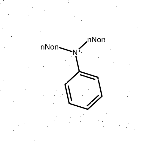 CCCCCCCCC[N+](CCCCCCCCC)c1ccccc1